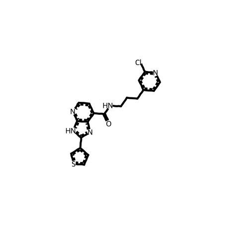 O=C(NCCCc1ccnc(Cl)c1)c1ccnc2[nH]c(-c3ccsc3)nc12